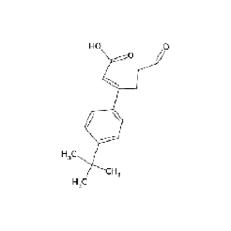 CC(C)(C)c1ccc(C(=CC(=O)O)CCC=O)cc1